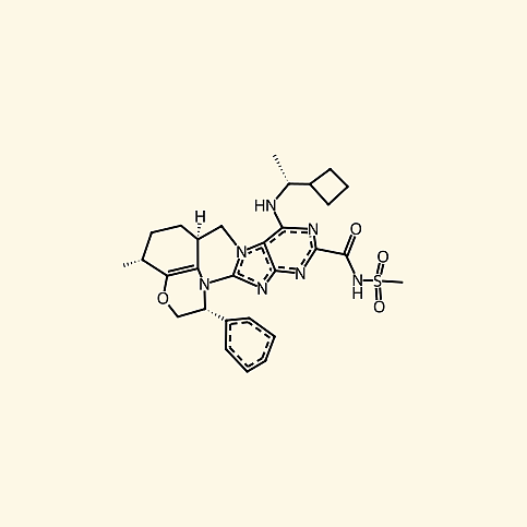 C[C@@H]1CC[C@H]2Cn3c(nc4nc(C(=O)NS(C)(=O)=O)nc(N[C@H](C)C5CCC5)c43)N3C2=C1OC[C@H]3c1ccccc1